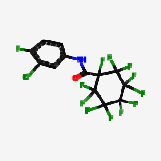 O=C(Nc1ccc(F)c(Cl)c1)C1(F)C(F)(F)C(F)(F)C(F)(F)C(F)(F)C1(F)F